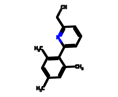 Cc1cc(C)c(-c2cccc(CC#N)n2)c(C)c1